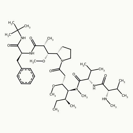 CC[C@H](C)[C@@H]([C@@H](CC(=O)N1CCC[C@H]1[C@H](OC)[C@@H](C)C(=O)N[C@@H](Cc1ccccc1)C(=O)NC(C)(C)C)OC)N(C)C(=O)[C@@H](NC(=O)[C@@H](NC)C(C)C)C(C)C